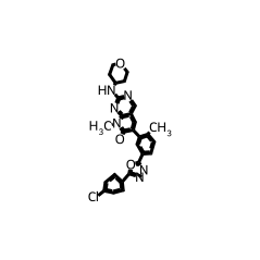 Cc1ccc(-c2nnc(-c3ccc(Cl)cc3)o2)cc1-c1cc2cnc(NC3CCOCC3)nc2n(C)c1=O